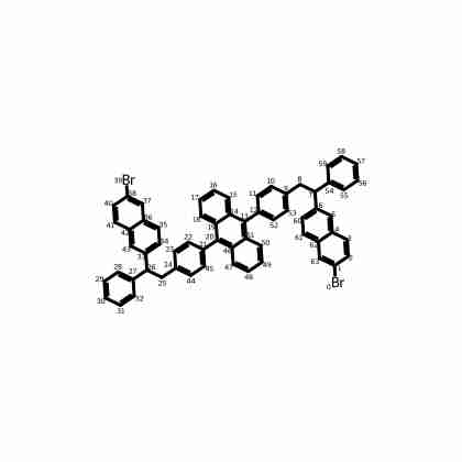 Brc1ccc2cc(C(Cc3ccc(-c4c5ccccc5c(-c5ccc(CC(c6ccccc6)c6ccc7cc(Br)ccc7c6)cc5)c5ccccc45)cc3)c3ccccc3)ccc2c1